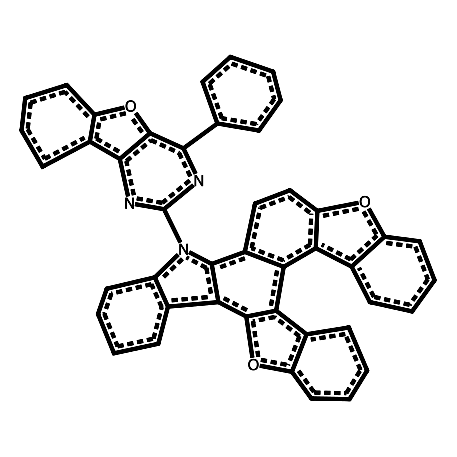 c1ccc(-c2nc(-n3c4ccccc4c4c5oc6ccccc6c5c5c(ccc6oc7ccccc7c65)c43)nc3c2oc2ccccc23)cc1